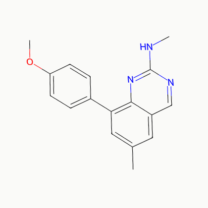 CNc1ncc2cc(C)cc(-c3ccc(OC)cc3)c2n1